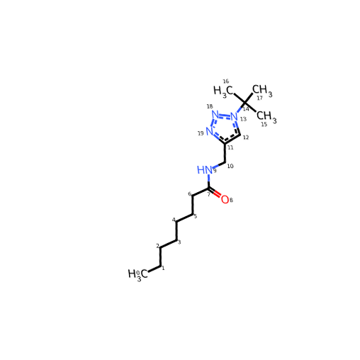 CCCCCCCC(=O)NCc1cn(C(C)(C)C)nn1